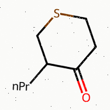 CCCC1CSCCC1=O